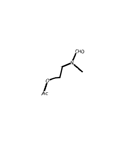 CC(=O)OC[CH]N(C)C=O